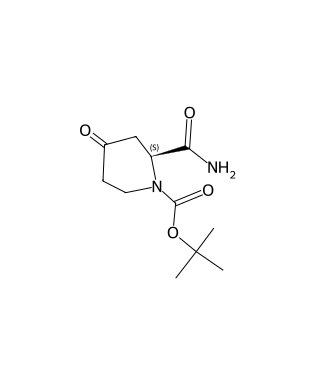 CC(C)(C)OC(=O)N1CCC(=O)C[C@H]1C(N)=O